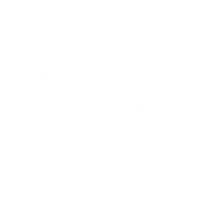 CCCOC(=O)c1ccc(O)c2c1C2